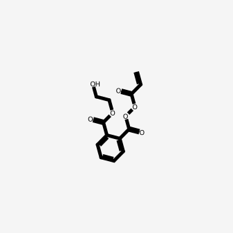 C=CC(=O)OOC(=O)c1ccccc1C(=O)OCCO